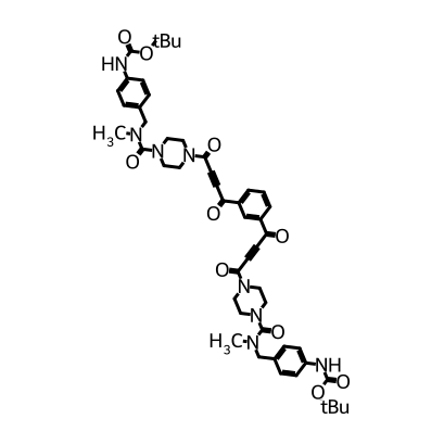 CN(Cc1ccc(NC(=O)OC(C)(C)C)cc1)C(=O)N1CCN(C(=O)C#CC(=O)c2cccc(C(=O)C#CC(=O)N3CCN(C(=O)N(C)Cc4ccc(NC(=O)OC(C)(C)C)cc4)CC3)c2)CC1